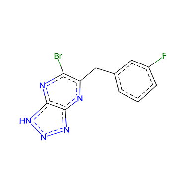 Fc1cccc(Cc2nc3nn[nH]c3nc2Br)c1